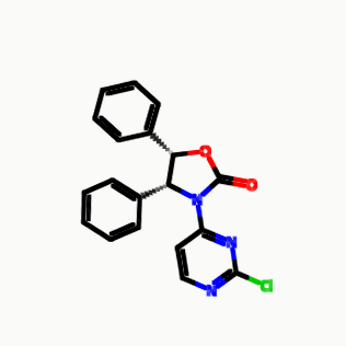 O=C1O[C@@H](c2ccccc2)[C@@H](c2ccccc2)N1c1ccnc(Cl)n1